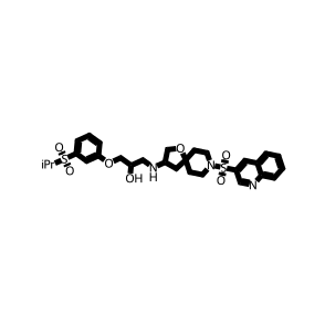 CC(C)S(=O)(=O)c1cccc(OCC(O)CNC2COC3(CCN(S(=O)(=O)c4cnc5ccccc5c4)CC3)C2)c1